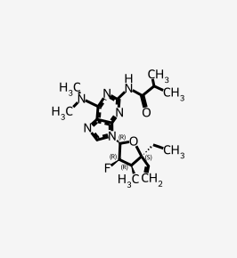 C=C[C@]1(CC)O[C@@H](n2cnc3c(N(C)C)nc(NC(=O)C(C)C)nc32)[C@H](F)[C@@H]1C